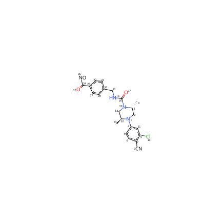 C[C@@H]1CN(c2ccc(C#N)c(Cl)c2)[C@@H](C)CN1C(=O)NCc1ccc(C(=O)N=O)cc1